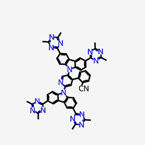 Cc1nc(C)nc(-c2ccc3c(c2)c2cc(-c4nc(C)nc(C)n4)ccc2n3-c2cc(-c3ccccc3C#N)c(-n3c4ccc(-c5nc(C)nc(C)n5)cc4c4cc(-c5nc(C)nc(C)n5)ccc43)cn2)n1